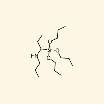 CCCNC(CC)[Si](OCCC)(OCCC)OCCC